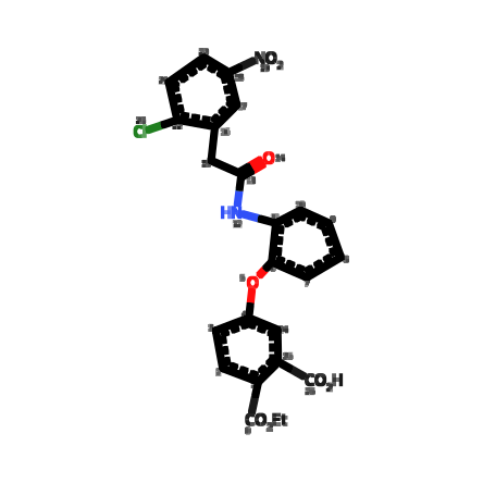 CCOC(=O)c1ccc(Oc2ccccc2NC(=O)Cc2cc([N+](=O)[O-])ccc2Cl)cc1C(=O)O